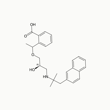 CC(OC[C@H](O)CNC(C)(C)Cc1ccc2ccccc2c1)c1ccccc1C(=O)O